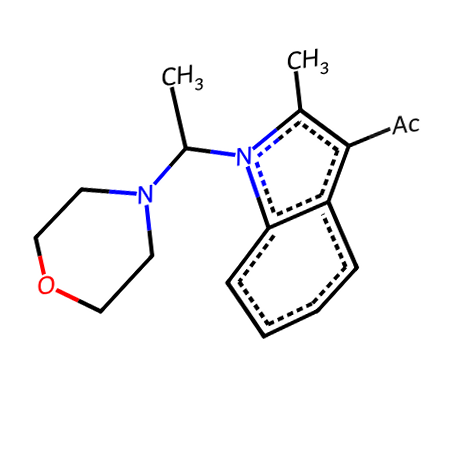 CC(=O)c1c(C)n(C(C)N2CCOCC2)c2ccccc12